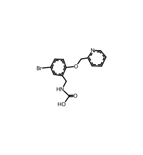 O=C(O)NCc1cc(Br)ccc1OCc1ccccn1